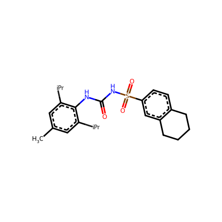 Cc1cc(C(C)C)c(NC(=O)NS(=O)(=O)c2ccc3c(c2)CCCC3)c(C(C)C)c1